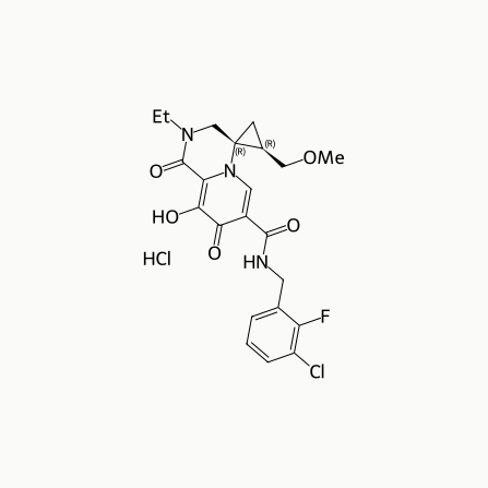 CCN1C[C@]2(C[C@H]2COC)n2cc(C(=O)NCc3cccc(Cl)c3F)c(=O)c(O)c2C1=O.Cl